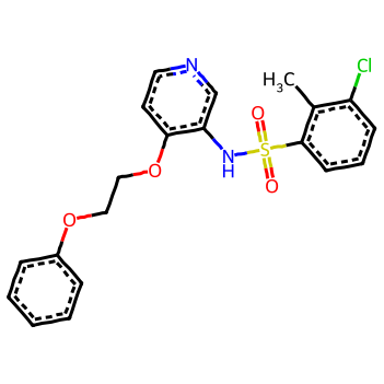 Cc1c(Cl)cccc1S(=O)(=O)Nc1cnccc1OCCOc1ccccc1